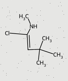 CN/C(Cl)=C\C(C)(C)C